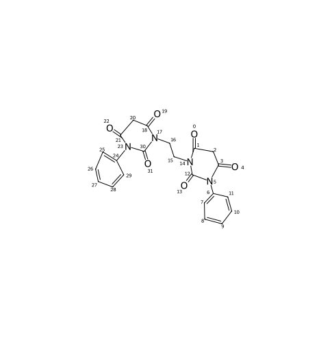 O=C1CC(=O)N(c2ccccc2)C(=O)N1CCN1C(=O)CC(=O)N(c2ccccc2)C1=O